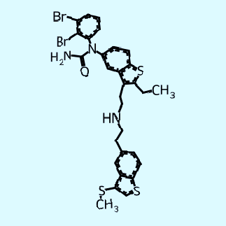 CCc1sc2ccc(N(C(N)=O)c3cccc(Br)c3Br)cc2c1CCNCCc1ccc2scc(SC)c2c1